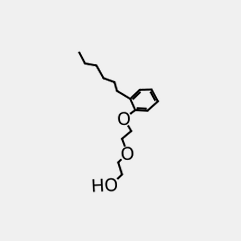 CCCCCCc1ccccc1OCCOCCO